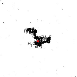 Cc1nn(C)c(C)c1-c1c(Cl)ccc2c(CCCOc3cccc4cc(F)ccc34)c(C(=O)OC(C)(C)C)n(CCN3CCN(C(=O)COc4cccc5c4C(=O)N(C4CCC(=O)NC4=O)C5=O)CC3)c12